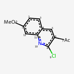 COc1ccc2cc(C(C)=O)c(Cl)nc2c1